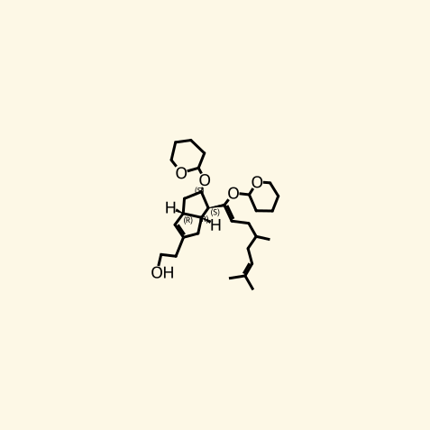 CC(C)=CCC(C)CC=C(OC1CCCCO1)[C@H]1[C@@H]2CC(CCO)=C[C@@H]2C[C@@H]1OC1CCCCO1